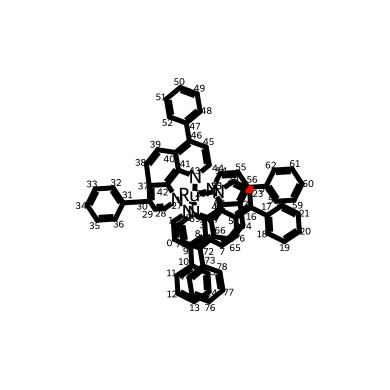 C1=C[N]2c3c4c(ccc3=C1c1ccccc1)=C(c1ccccc1)C=C[N]4[Ru]213([N]2C=CC(c4ccccc4)=c4ccc5c(c42)[N]1C=CC=5c1ccccc1)[N]1C=CC(c2ccccc2)=c2ccc4c(c21)[N]3C=CC=4c1ccccc1